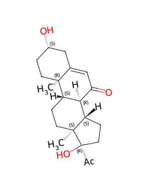 CC(=O)[C@@]1(O)CC[C@H]2[C@@H]3C(=O)C=C4C[C@@H](O)CC[C@]4(C)[C@H]3CC[C@@]21C